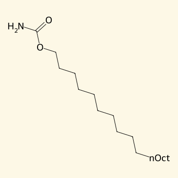 CCCCCCCCCCCCCCCCCCOC(N)=O